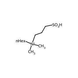 CCCCCC[N+](C)(C)CCCS(=O)(=O)O